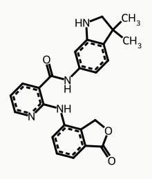 CC1(C)CNc2cc(NC(=O)c3cccnc3Nc3cccc4c3COC4=O)ccc21